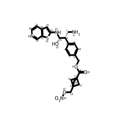 NC[C@H](c1ccc(COC(=O)C23CC(CO[N+](=O)[O-])(C2)C3)cc1)[C@H](O)Nc1cc2ccncc2s1